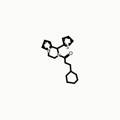 O=C(CCC1CCCCC1)N1CCn2cccc2C1c1cccs1